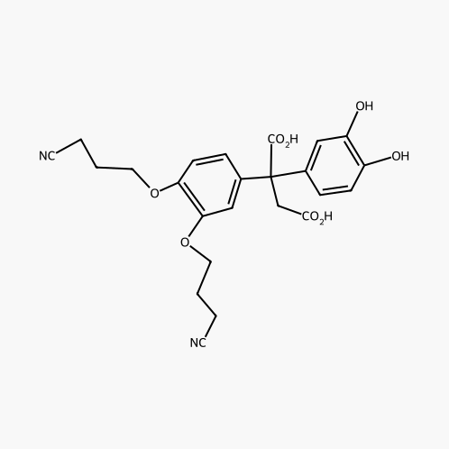 N#CCCCOc1ccc(C(CC(=O)O)(C(=O)O)c2ccc(O)c(O)c2)cc1OCCCC#N